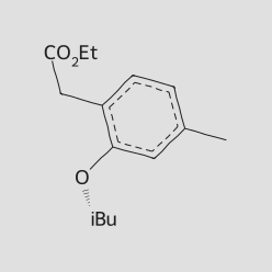 CCOC(=O)Cc1ccc(C)cc1O[C@@H](C)CC